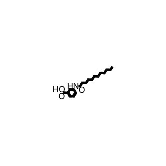 CCCCCCCCCCCC(=O)Nc1cccc(C(=O)O)c1